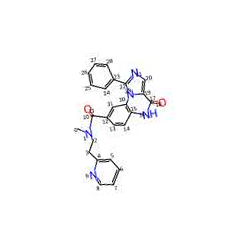 CN(CCc1ccccn1)C(=O)c1ccc2[nH]c(=O)c3cnc(-c4ccccc4)n3c2c1